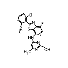 [C-]#[N+]c1cccc(Cl)c1-c1nc2c(F)cnc(Nc3cc(C)nc(CO)n3)c2s1